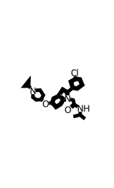 CC(C)NC(=O)Cn1c(-c2cccc(Cl)c2)cc2cc(OC3CCN(C4CC4)CC3)ccc21